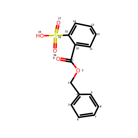 O=C(OCc1ccccc1)c1ccccc1S(=O)(=O)O